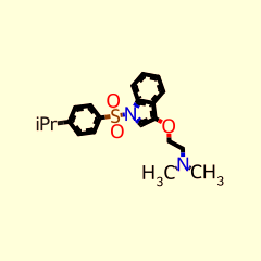 CC(C)c1ccc(S(=O)(=O)n2cc(OCCN(C)C)c3ccccc32)cc1